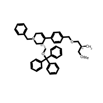 COC[C@H](C)COCc1ccc(C2=CCN(Cc3ccccc3)C[C@H]2COC(c2ccccc2)(c2ccccc2)c2ccccc2)cc1